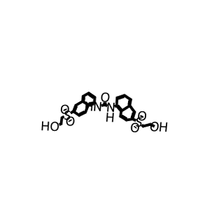 O=C(Nc1cccc2cc(S(=O)(=O)CCO)ccc12)Nc1cccc2cc(S(=O)(=O)CCO)ccc12